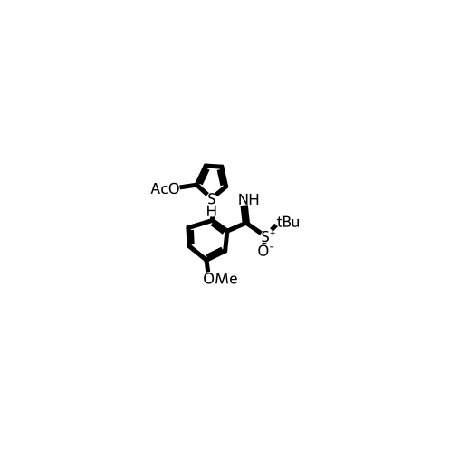 COc1ccc([SH]2C=CC=C2OC(C)=O)c(C(=N)[S+]([O-])C(C)(C)C)c1